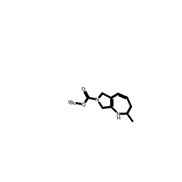 CC1CC=CC2=C(CN(C(=O)OC(C)(C)C)C2)N1